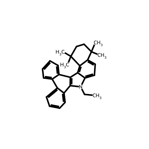 CCn1c2ccc3c(c2c2c4ccccc4c4ccccc4c21)C(C)(C)CCC3(C)C